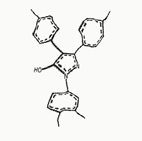 Cc1ccc(-c2nn(-c3ccc(C)c(C)c3)c(O)c2-c2ccc(C)cc2)cc1